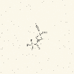 CC#CC1(O)CN(C(=O)C(F)(F)F)C1